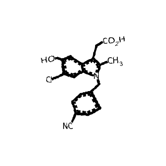 Cc1c(CC(=O)O)c2cc(O)c(Cl)cc2n1Cc1ccc(C#N)cc1